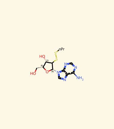 CCCSSC1[C@@H](O)[C@@H](CO)O[C@H]1n1cnc2c(N)ncnc21